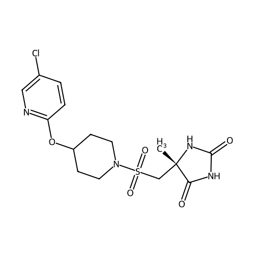 C[C@@]1(CS(=O)(=O)N2CCC(Oc3ccc(Cl)cn3)CC2)NC(=O)NC1=O